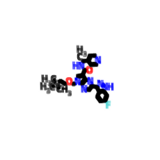 CC(NC(=O)c1cn(COCC[Si](C)(C)C)c2ncc(-c3n[nH]c4cc(F)ccc34)nc12)c1ccncc1